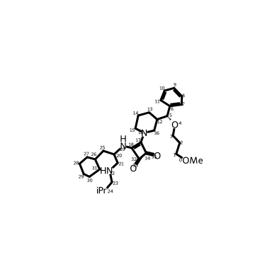 COCCCO[C@@H](c1ccccc1)C1CCCN(c2c(NC(CNCC(C)C)CC3CCCCC3)c(=O)c2=O)C1